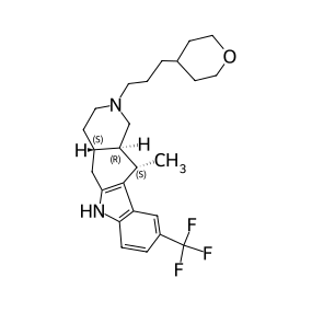 C[C@@H]1c2c([nH]c3ccc(C(F)(F)F)cc23)C[C@@H]2CCN(CCCC3CCOCC3)C[C@H]21